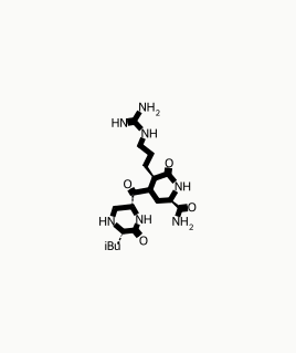 CCC(C)[C@@H]1NC[C@H](C(=O)C2C[C@H](C(N)=O)NC(=O)[C@@H]2CCCNC(=N)N)NC1=O